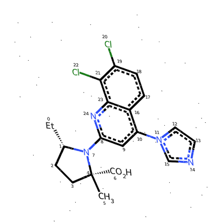 CC[C@H]1CC[C@@](C)(C(=O)O)N1c1cc(-n2ccnc2)c2ccc(Cl)c(Cl)c2n1